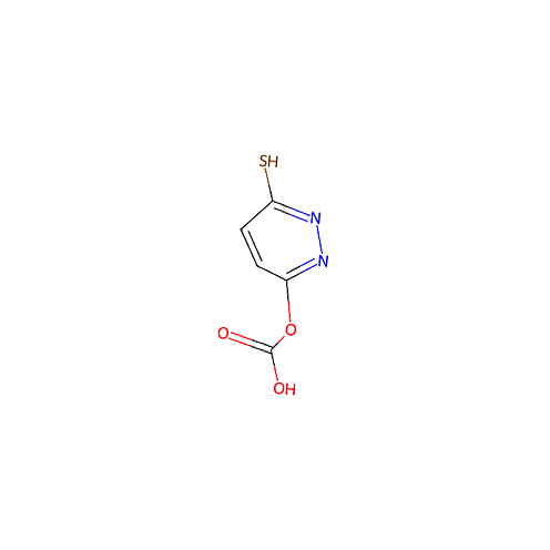 O=C(O)Oc1ccc(S)nn1